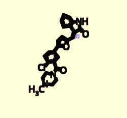 CN1CCN(C(=O)c2cc(-c3ccc(/C=C4/C(=O)Nc5ccccc54)o3)ccc2Cl)CC1